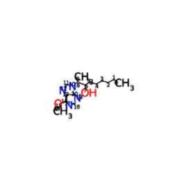 CCCCCCC(O)C(C)n1cnc2c(OC)ncnc21